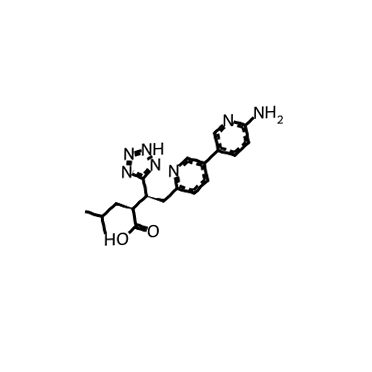 CC(C)C[C@H](C(=O)O)[C@H](Cc1ccc(-c2ccc(N)nc2)cn1)c1nn[nH]n1